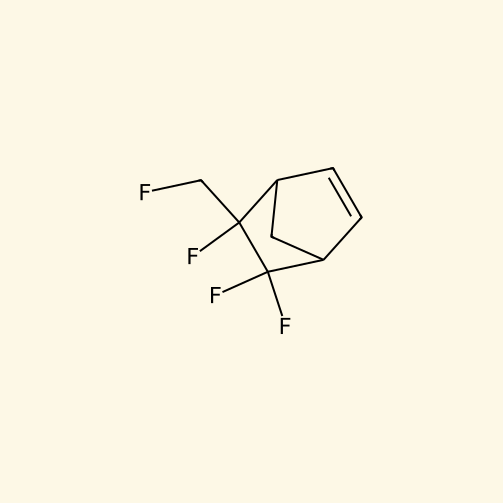 FCC1(F)C2C=CC(C2)C1(F)F